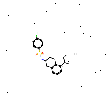 CCC(CC(=O)O)c1cccc2c1CCC(NS(=O)(=O)c1ccc(Cl)cc1)C2